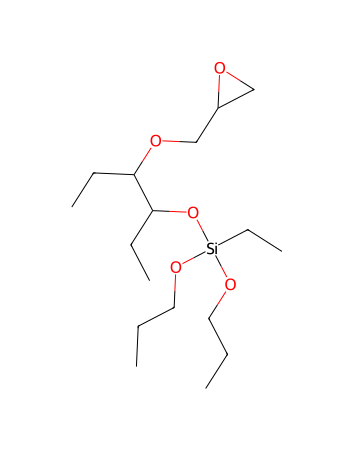 CCCO[Si](CC)(OCCC)OC(CC)C(CC)OCC1CO1